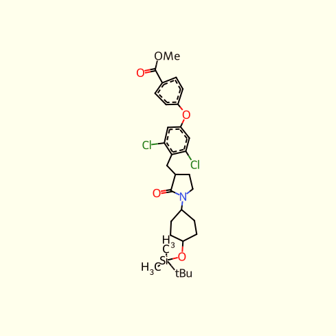 COC(=O)c1ccc(Oc2cc(Cl)c(CC3CCN(C4CCC(O[Si](C)(C)C(C)(C)C)CC4)C3=O)c(Cl)c2)cc1